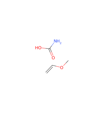 C=COC.NC(=O)O